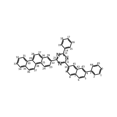 c1ccc(-c2ccc3ccc(-c4nc(-c5ccccc5)nc(-c5ccc6c(ccc7c8ccccc8ccc67)c5)n4)cc3c2)cc1